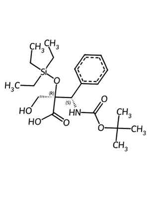 CC[Si](CC)(CC)O[C@](CO)(C(=O)O)[C@@H](NC(=O)OC(C)(C)C)c1ccccc1